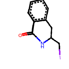 O=C1NC(CI)Cc2ccccc21